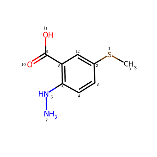 CSc1ccc(NN)c(C(=O)O)c1